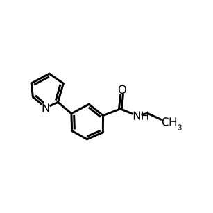 CCNC(=O)c1cccc(-c2ccccn2)c1